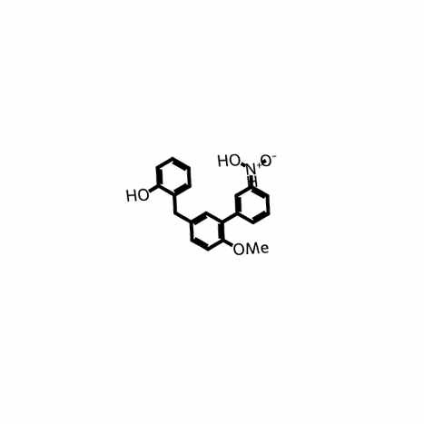 COc1ccc(Cc2ccccc2O)cc1-c1cccc([NH+]([O-])O)c1